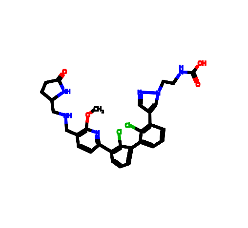 COc1nc(-c2cccc(-c3cccc(-c4cnn(CCNC(=O)O)c4)c3Cl)c2Cl)ccc1CNCC1CCC(=O)N1